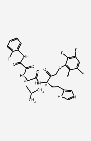 CC(C)C[C@H](NC(=O)C(=O)Nc1ccccc1F)C(=O)N[C@H](CCc1cnc[nH]1)C(=O)COc1c(F)c(F)cc(F)c1F